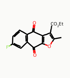 CCOC(=O)c1c(C)oc2c1C(=O)c1ccc(F)cc1C2=O